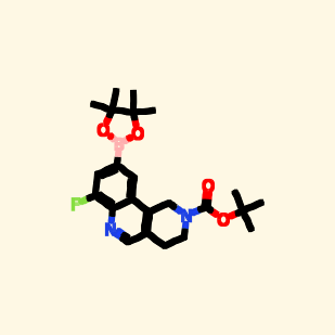 CC(C)(C)OC(=O)N1CCc2cnc3c(F)cc(B4OC(C)(C)C(C)(C)O4)cc3c2C1